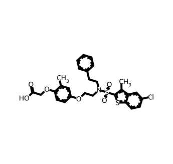 Cc1cc(OCCN(CCc2ccccc2)S(=O)(=O)c2sc3ccc(Cl)cc3c2C)ccc1OCC(=O)O